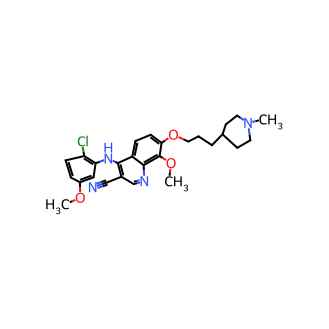 COc1ccc(Cl)c(Nc2c(C#N)cnc3c(OC)c(OCCCC4CCN(C)CC4)ccc23)c1